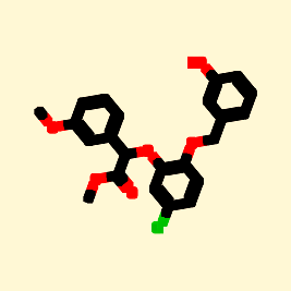 COC(=O)C(Oc1cc(Cl)ccc1OCc1cccc(O)c1)c1cccc(OC)c1